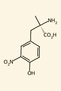 C[C@@](N)(Cc1ccc(O)c([N+](=O)[O-])c1)C(=O)O